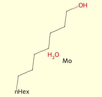 CCCCCCCCCCCCCO.O.[Mo]